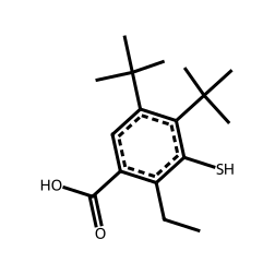 CCc1c(C(=O)O)cc(C(C)(C)C)c(C(C)(C)C)c1S